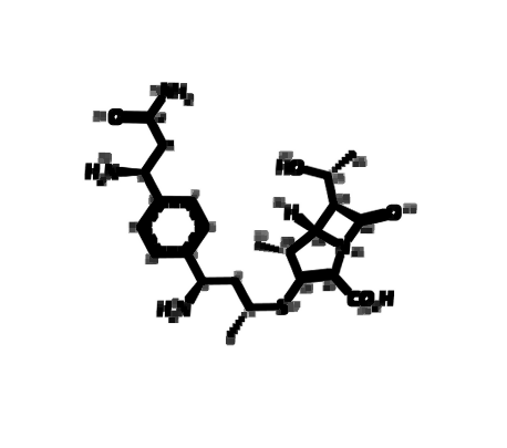 C[C@H](C[C@@H](N)c1ccc([C@@H](N)CC(N)=O)cc1)SC1=C(C(=O)O)N2C(=O)[C@H]([C@@H](C)O)[C@H]2[C@H]1C